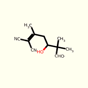 CC(CC(O)C(C)(C)[C]=O)=C(C#N)C#N